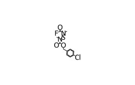 CN(SN(C)C(=O)OCc1ccc(Cl)cc1)C(=O)F